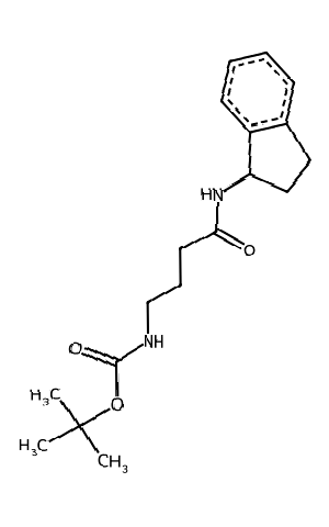 CC(C)(C)OC(=O)NCCCC(=O)NC1CCc2ccccc21